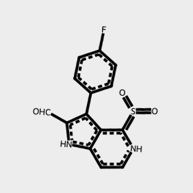 O=Cc1[nH]c2cc[nH]c(=S(=O)=O)c2c1-c1ccc(F)cc1